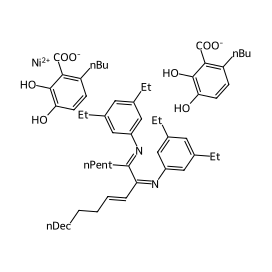 CCCCCCCCCCCCC=CC(=Nc1cc(CC)cc(CC)c1)C(CCCCC)=Nc1cc(CC)cc(CC)c1.CCCCc1ccc(O)c(O)c1C(=O)[O-].CCCCc1ccc(O)c(O)c1C(=O)[O-].[Ni+2]